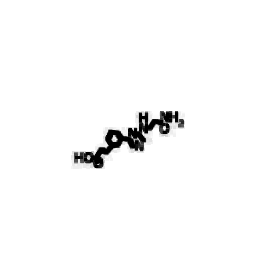 NC(=O)CCNc1cncc(-c2cccc(C=CC(=O)O)c2)n1